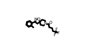 Cc1ccccc1C1=NOC2(CCN(C(=O)CCCC(F)(F)F)CC2)C1